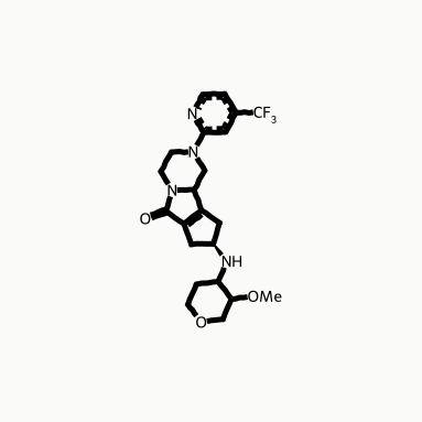 COC1COCCC1N[C@H]1CC2=C(C1)C1CN(c3cc(C(F)(F)F)ccn3)CCN1C2=O